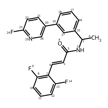 CC(NC(=O)C=Cc1c(F)cccc1F)c1cccc(-c2ccc(F)nc2)c1